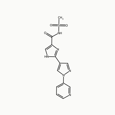 CS(=O)(=O)NC(=O)c1c[nH]c(-c2cnn(-c3cccnc3)c2)n1